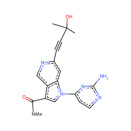 CNC(=O)c1cn(-c2ccnc(N)n2)c2cc(C#CC(C)(C)O)ncc12